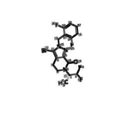 C[C@@H](C(F)F)N1CCc2c(nn(Cc3c(F)cccc3F)c2Br)C1=O